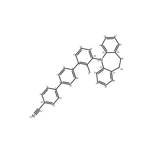 Cc1c(-c2ccc(-c3ccc(C#N)cc3)cc2)cccc1N1c2ccccc2CCc2ccccc21